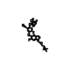 C[Si](C)(C)CCOCn1ccc2c(F)c(Oc3ccc(OS(=O)(=O)C(F)(F)F)c(C#N)c3)c(F)cc21